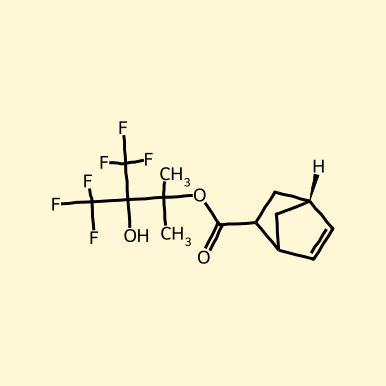 CC(C)(OC(=O)C1C[C@@H]2C=CC1C2)C(O)(C(F)(F)F)C(F)(F)F